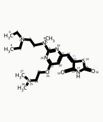 CCN(CC)CCN(C)c1nc(/C=C2/SC(=O)NC2=O)cc(OCCN(C)C)n1